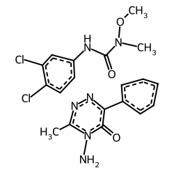 CON(C)C(=O)Nc1ccc(Cl)c(Cl)c1.Cc1nnc(-c2ccccc2)c(=O)n1N